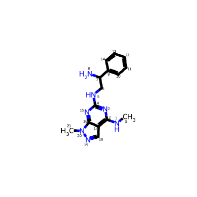 CNc1nc(NCC(N)c2ccccc2)nc2c1cnn2C